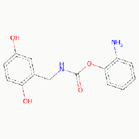 Nc1ccccc1OC(=O)NCc1cc(O)ccc1O